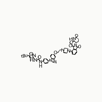 CC(C)(C)c1cc(NC(=O)Nc2ccc(-n3cnc4cc(OCCN5CCN(c6cccc7c6C(=O)N(C6CCC(=O)NC6=O)C7=O)CC5)ccc43)cc2)no1